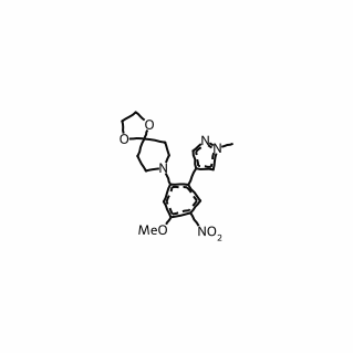 COc1cc(N2CCC3(CC2)OCCO3)c(-c2cnn(C)c2)cc1[N+](=O)[O-]